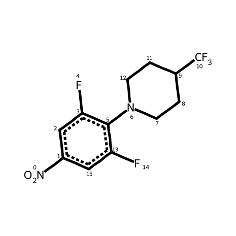 O=[N+]([O-])c1cc(F)c(N2CCC(C(F)(F)F)CC2)c(F)c1